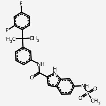 CC(C)(c1cccc(NC(=O)c2cc3ccc(NS(C)(=O)=O)cc3[nH]2)c1)c1ccc(F)cc1F